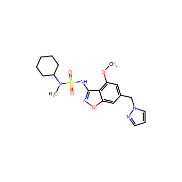 COc1cc(Cn2cccn2)cc2onc(NS(=O)(=O)N(C)C3CCCCC3)c12